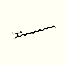 CCC(CCCCCCCCCCCCCCCC=S)=C(C#N)C(=O)O